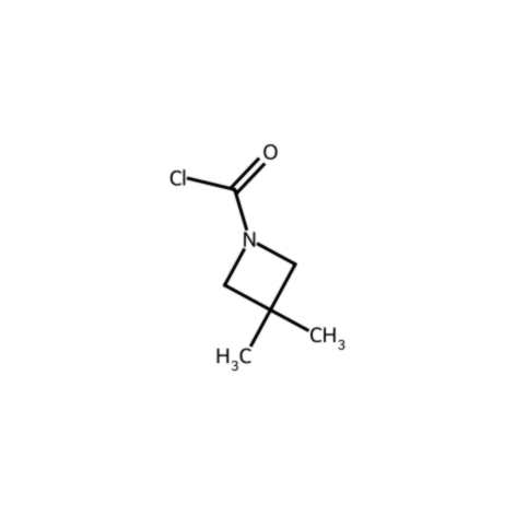 CC1(C)CN(C(=O)Cl)C1